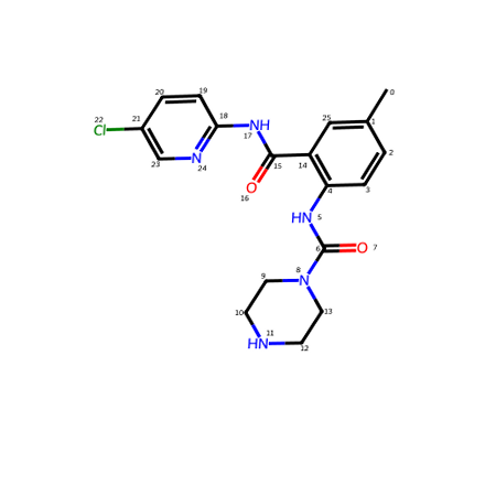 Cc1ccc(NC(=O)N2CCNCC2)c(C(=O)Nc2ccc(Cl)cn2)c1